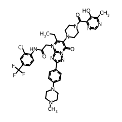 CCc1c(N2CCN(C(=O)c3ncnc(C)c3O)CC2)c(=O)n2nc(-c3ccc(N4CCN(C)CC4)cc3)nc2n1CC(=O)Nc1ccc(C(F)(F)F)cc1Cl